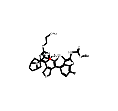 COCCOc1nc(N2C3CCC2CN(C(=O)OC(C)(C)C)C3)c2c3c(c(-c4ccc(F)c5sc(NC(=O)OC(C)(C)C)c(C#N)c45)c(F)c2n1)COC3